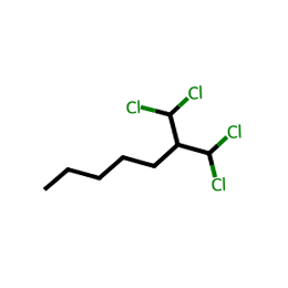 CCCCCC(C(Cl)Cl)C(Cl)Cl